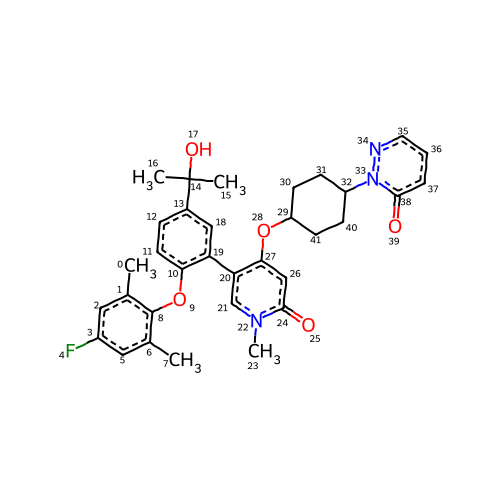 Cc1cc(F)cc(C)c1Oc1ccc(C(C)(C)O)cc1-c1cn(C)c(=O)cc1OC1CCC(n2ncccc2=O)CC1